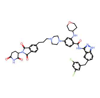 O=C1CCC(N2C(=O)c3ccc(CCCN4CCN(c5ccc(C(=O)Nc6n[nH]c7ccc(Cc8cc(F)cc(F)c8)cc67)c(NC6CCOCC6)c5)CC4)cc3C2=O)C(=O)N1